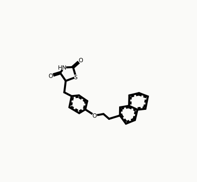 O=C1NC(=O)C(Cc2ccc(OCCc3ccc4ccccc4c3)cc2)S1